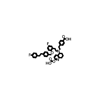 O=C(O)Oc1ccc2c(n1)CCCC2N(CCc1ccc(C(=O)O)cc1)CCc1cc(F)ccc1OCc1ccc(CCc2ccc(F)cc2)cc1